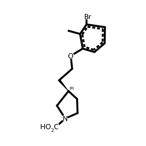 Cc1c(Br)cccc1OCC[C@H]1CCN(C(=O)O)C1